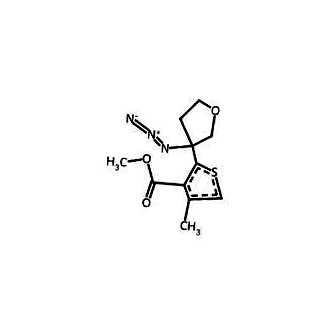 COC(=O)c1c(C)csc1C1(N=[N+]=[N-])CCOC1